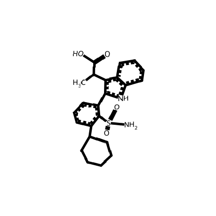 CC(C(=O)O)c1c(-c2cccc(C3CCCCC3)c2S(N)(=O)=O)[nH]c2ccccc12